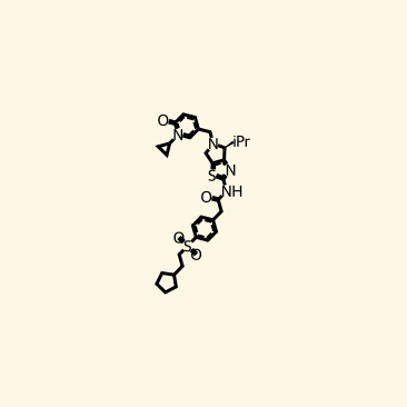 CC(C)[C@H]1c2nc(NC(=O)Cc3ccc(S(=O)(=O)CCC4CCCC4)cc3)sc2CN1Cc1ccc(=O)n(C2CC2)c1